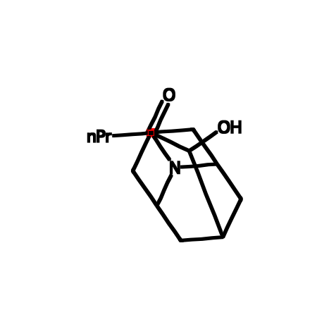 CCCC(=O)N1C2CC3CC1CC(C2)C3O